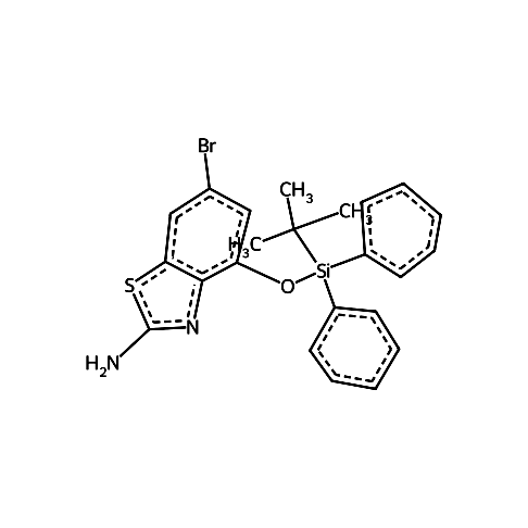 CC(C)(C)[Si](Oc1cc(Br)cc2sc(N)nc12)(c1ccccc1)c1ccccc1